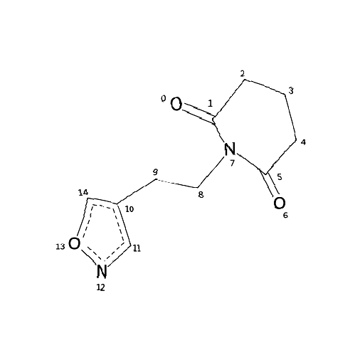 O=C1CCCC(=O)N1CCc1cnoc1